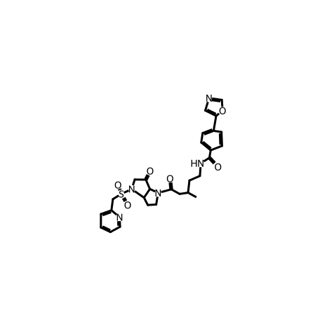 CC(CCNC(=O)c1ccc(-c2cnco2)cc1)CC(=O)N1CCC2C1C(=O)CN2S(=O)(=O)Cc1ccccn1